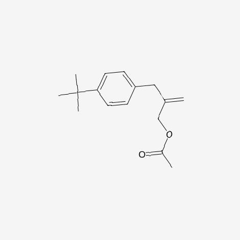 C=C(COC(C)=O)Cc1ccc(C(C)(C)C)cc1